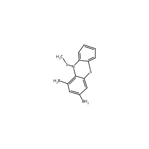 Bc1cc(B)c2c(c1)Sc1ccccc1N2SC